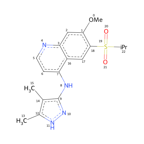 COc1cc2nccc(Nc3n[nH]c(C)c3C)c2cc1S(=O)(=O)C(C)C